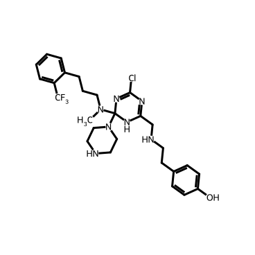 CN(CCCc1ccccc1C(F)(F)F)C1(N2CCNCC2)N=C(Cl)N=C(CNCCc2ccc(O)cc2)N1